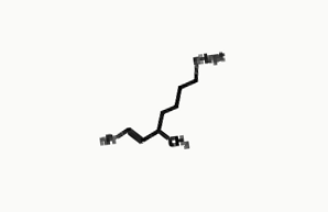 CCCC=CC(C)CCCCCCCCCCC